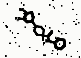 CC1(C(=O)Nc2ccccn2)CCN(c2ccc(C#N)c(C(F)(F)F)c2)CC1